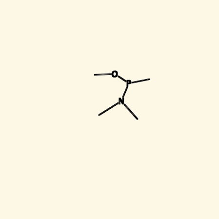 COP(C)N(C)C